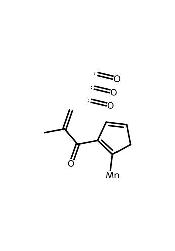 C=C(C)C(=O)C1=[C]([Mn])CC=C1.[C]=O.[C]=O.[C]=O